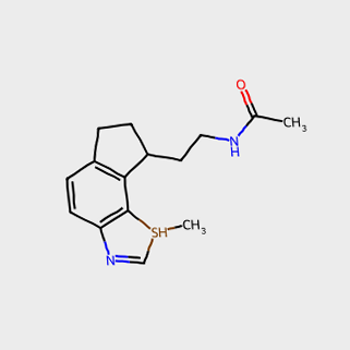 CC(=O)NCCC1CCc2ccc3c(c21)[SH](C)C=N3